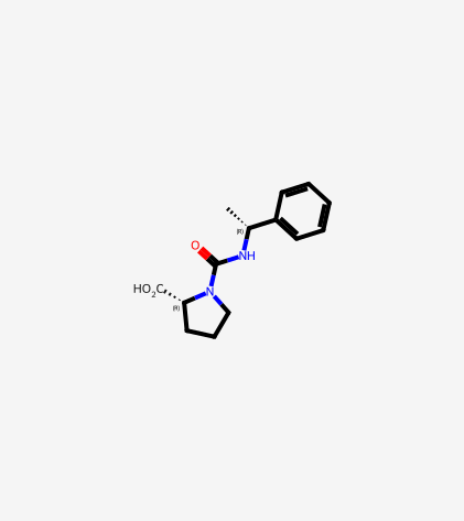 C[C@@H](NC(=O)N1CCC[C@@H]1C(=O)O)c1ccccc1